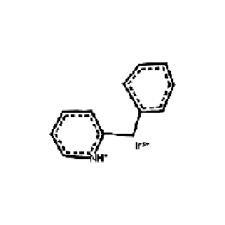 [Ir+3].c1ccc(Cc2cccc[nH+]2)cc1